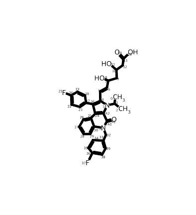 CC(C)n1c(C=CC(O)CC(O)CC(=O)O)c(-c2ccc(F)cc2)c2c3ccccc3n(Cc3ccc(F)cc3)c(=O)c21